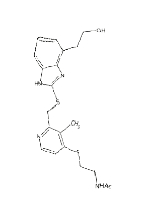 CC(=O)NCCSc1ccnc(CSc2nc3c(CCO)cccc3[nH]2)c1C